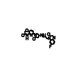 O=C1COc2ccc(N3C[C@H](NCCCn4c(=O)cnc5ccc(F)cc54)CC3=O)nc2N1